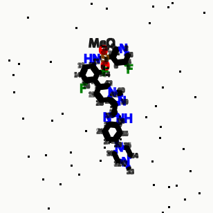 COc1ncc(F)cc1S(=O)(=O)Nc1ccc(F)c(-c2ccc3c(-c4nc5ccc(N6CCN(C)CC6)cc5[nH]4)ncn3c2)c1F